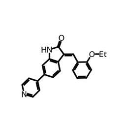 CCOc1ccccc1/C=C1/C(=O)Nc2cc(-c3ccncc3)ccc21